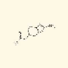 NC(=O)CC1CCc2nc(N)sc2C1